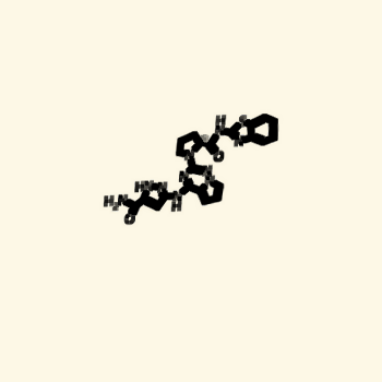 NC(=O)c1cc(Nc2nc(N3CCC[C@H]3C(=O)Nc3nc4ccccc4s3)nn3cccc23)n[nH]1